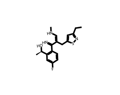 CCc1cc(C/C(=C/NC)C(=N)c2ccc(F)cc2[C@@H](C)O)sn1